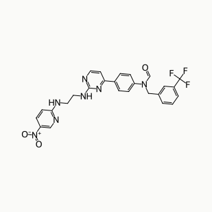 O=CN(Cc1cccc(C(F)(F)F)c1)c1ccc(-c2ccnc(NCCNc3ccc([N+](=O)[O-])cn3)n2)cc1